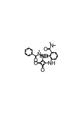 CN(C)C(=O)c1cccc(Nc2c(NN(C)C(=O)c3ccccc3)c(=O)c2=O)c1O